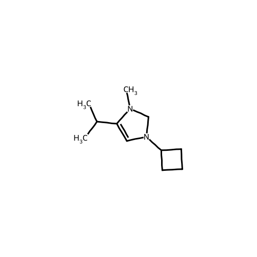 CC(C)C1=CN(C2CCC2)CN1C